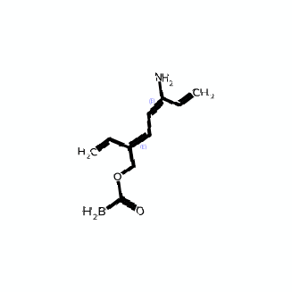 BC(=O)OC/C(C=C)=C/C=C(/N)C=C